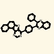 c1ccc(-c2nc3ccccc3nc2-c2ccc(-c3ncnc4c3oc3ccc5ccccc5c34)cc2)cc1